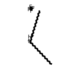 CCCCCCCCCCCCCCCCCC[NH+](C)CCCCCCCCCCCCCCCCCC.F[B-](F)(F)F